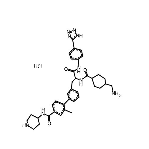 Cc1cc(C(=O)NC2CCNCC2)ccc1-c1cccc(C[C@H](NC(=O)C2CCC(CN)CC2)C(=O)Nc2ccc(-c3nnn[nH]3)cc2)c1.Cl